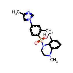 Cc1cn(-c2ccc(S(=O)(=O)N3CCN(C)c4cccc(C)c43)c(C)c2)cn1